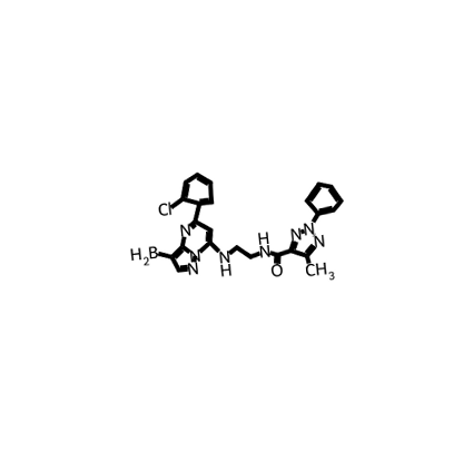 Bc1cnn2c(NCCNC(=O)c3nn(-c4ccccc4)nc3C)cc(-c3ccccc3Cl)nc12